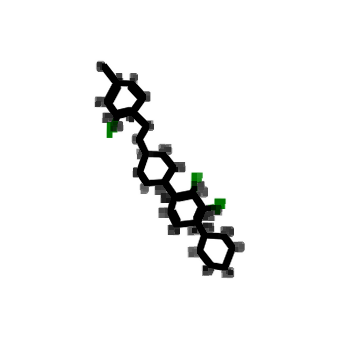 Cc1ccc(CCC2CCC(c3ccc(C4CCCCC4)c(F)c3F)CC2)c(F)c1